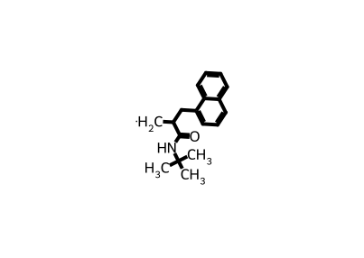 [CH2]C(Cc1cccc2ccccc12)C(=O)NC(C)(C)C